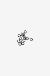 c1ccc(-c2ccc3c(c2)c2ccc4c(c2n3-c2cc(-c3ccccc3)nc(-c3ccccc3)c2)-c2ccccc2C42c3ccccc3Oc3ccccc32)cc1